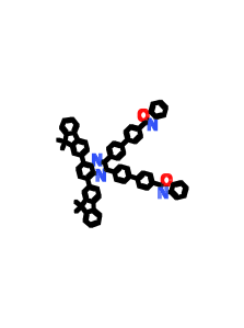 CC1(C)c2ccccc2-c2ccc(-c3ccc(-c4ccc5c(c4)C(C)(C)c4ccccc4-5)c4nc(-c5ccc(-c6ccc(-c7nc8ccccc8o7)cc6)cc5)c(-c5ccc(-c6ccc(-c7nc8ccccc8o7)cc6)cc5)nc34)cc21